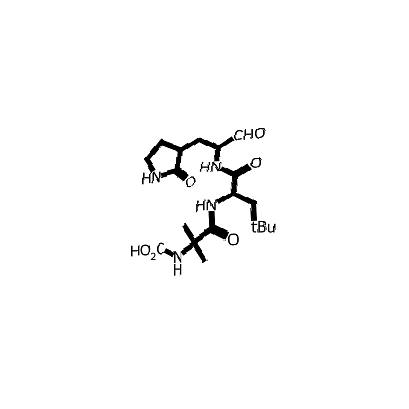 CC(C)(C)CC(NC(=O)C(C)(C)NC(=O)O)C(=O)NC(C=O)CC1CCNC1=O